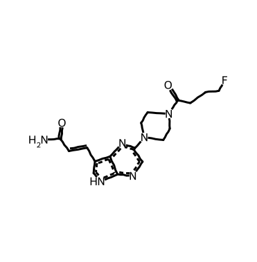 NC(=O)/C=C/c1c[nH]c2ncc(N3CCN(C(=O)CCCF)CC3)nc12